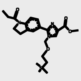 CCC(=O)N1CCc2cc(-c3nc(C(=O)OC)cn3COCC[Si](C)(C)C)ccc21